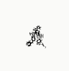 NC1CCC(Nc2nc(NN3CCC(Cc4ccncc4)CC3)c3ncn(C4CCCC4)c3n2)CC1